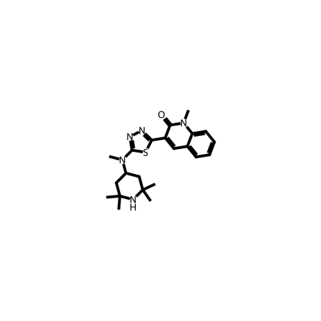 CN(c1nnc(-c2cc3ccccc3n(C)c2=O)s1)C1CC(C)(C)NC(C)(C)C1